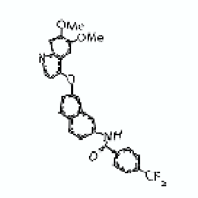 COc1cc2nccc(Oc3ccc4ccc(NC(=O)c5ccc(C(F)(F)F)cc5)cc4c3)c2cc1OC